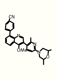 COc1c(-c2ccc(N3CC(C)OC(C)C3)nc2C)cnc2c(-c3ccc(C#N)cc3)cccc12